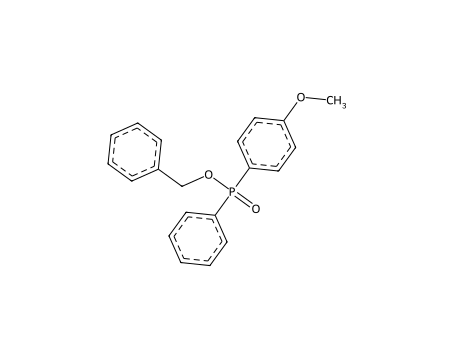 COc1ccc(P(=O)(OCc2ccccc2)c2ccccc2)cc1